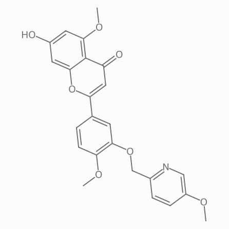 COc1ccc(COc2cc(-c3cc(=O)c4c(OC)cc(O)cc4o3)ccc2OC)nc1